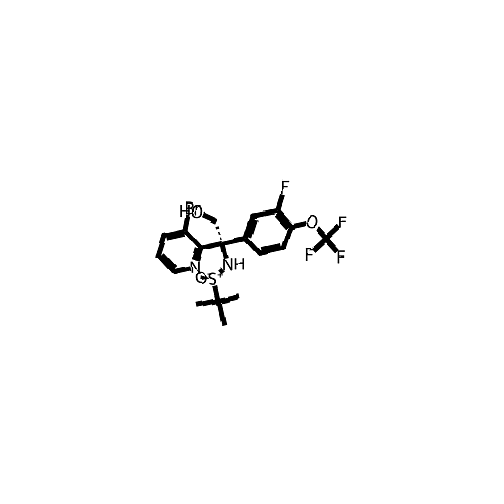 CC(C)(C)[S@@+]([O-])N[C@](CO)(c1ccc(OC(F)(F)F)c(F)c1)c1ncccc1Br